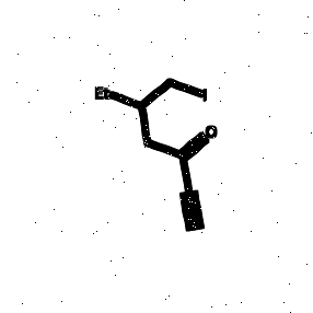 C#CC(=O)CC(CC)CI